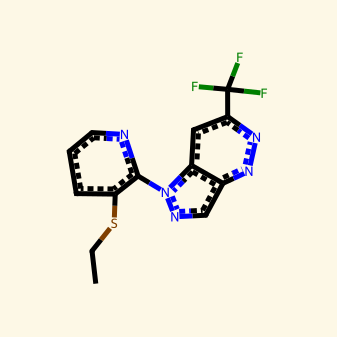 CCSc1cccnc1-n1ncc2nnc(C(F)(F)F)cc21